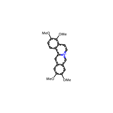 COc1cc2cc3c4ccc(OC)c(OC)c4cc[n+]3cc2cc1OC